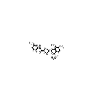 Cc1ccc2c(c1O)C[C@@H](C1CCN(C(=O)Nc3cc(C(F)(F)F)ccc3F)CC1)O[C@H]2CN